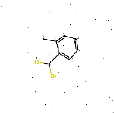 Cc1ccccc1[C](S)S